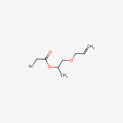 C=CCOCC(C)OC(=O)CC(C)=O